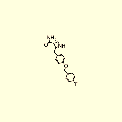 NC(=O)C1CNC1Cc1ccc(OCc2ccc(F)cc2)cc1